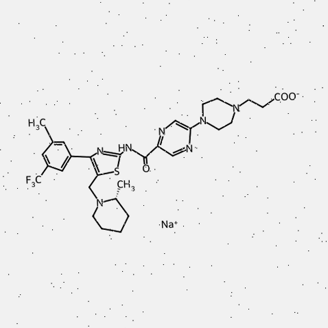 Cc1cc(-c2nc(NC(=O)c3cnc(N4CCN(CCC(=O)[O-])CC4)cn3)sc2CN2CCCC[C@H]2C)cc(C(F)(F)F)c1.[Na+]